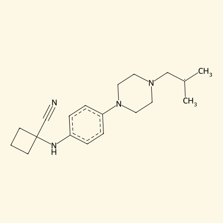 C[C](C)CN1CCN(c2ccc(NC3(C#N)CCC3)cc2)CC1